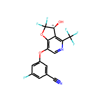 N#Cc1cc(F)cc(Oc2cnc(C(F)(F)F)c3c2OC(F)(F)[C@H]3O)c1